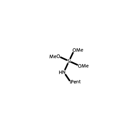 CCCC(C)N[Si](OC)(OC)OC